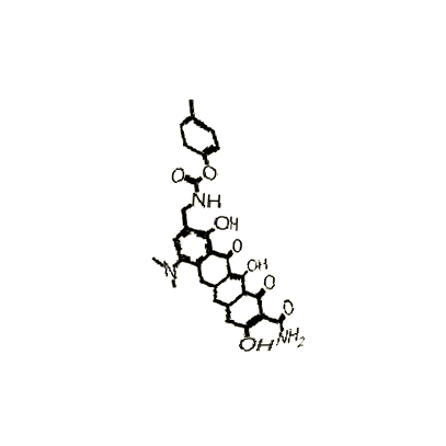 CC1=CC=C(OC(=O)NCc2cc(N(C)C)c3c(c2O)C(=O)C2=C(O)C4C(=O)C(C(N)=O)=C(O)CC4CC2C3)CC1